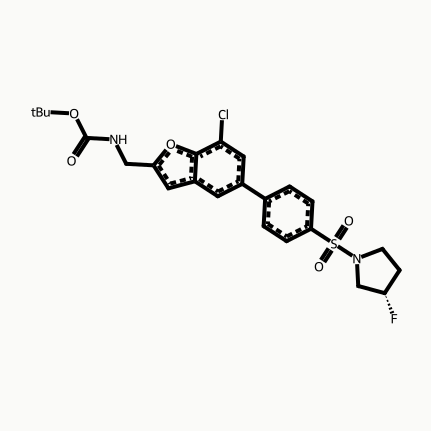 CC(C)(C)OC(=O)NCc1cc2cc(-c3ccc(S(=O)(=O)N4CC[C@H](F)C4)cc3)cc(Cl)c2o1